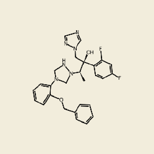 C[C@@H](N1CN(c2ccccc2OCc2ccccc2)CN1)[C@](O)(Cn1cncn1)c1ccc(F)cc1F